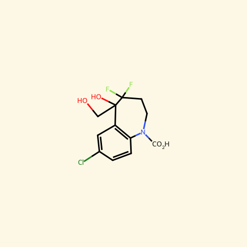 O=C(O)N1CCC(F)(F)C(O)(CO)c2cc(Cl)ccc21